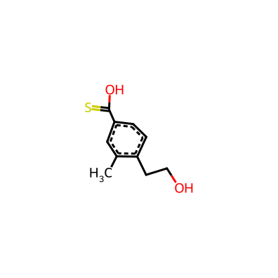 Cc1cc(C(O)=S)ccc1CCO